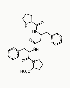 O=C(CC(Cc1ccccc1)NC(=O)C1CCCN1)NC(Cc1ccccc1)C(=O)N1CCCC1C(=O)O